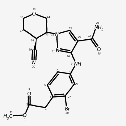 COC(=O)Cc1ccc(Nc2nn(C3COCC[C@@H]3C#N)cc2C(N)=O)cc1Br